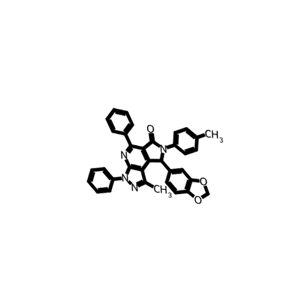 Cc1ccc(N2C(=O)c3c(-c4ccccc4)nc4c(c(C)nn4-c4ccccc4)c3C2c2ccc3c(c2)OCO3)cc1